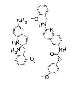 COc1ccc(OC(=O)Nc2ccc3nc(NCc4ccccc4OC)ccc3c2)cc1.COc1ccccc1CC1(N)C=Cc2cc(N)ccc2N1